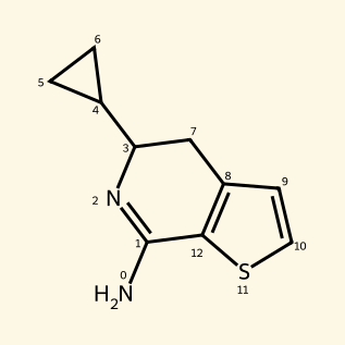 NC1=NC(C2CC2)Cc2ccsc21